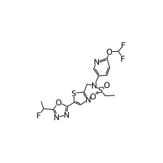 CCS(=O)(=O)N(Cc1ncc(-c2nnc(C(C)F)o2)s1)c1ccc(OC(F)F)nc1